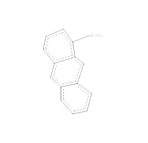 [CH2]C(CCC)c1cccc2cc3ccccc3cc12